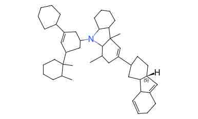 CC1CC(C2CC[C@@H]3C=C4CCC=CC4C3C2)=CC2(C)C3CCCCC3N(C3CC(C4CCCCC4)=CC(C4(C)CCCCC4C)C3)C12